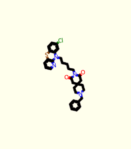 O=C1CC2(CCN(Cc3ccccc3)CC2)CC(=O)N1CCCCCN1c2cc(Cl)ccc2Sc2cccnc21